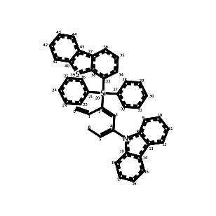 C=C/C(=C\C(=C/C)n1c2ccccc2c2ccccc21)[Si](c1ccccc1)(c1ccccc1)c1cccc2c1sc1ccccc12